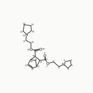 O=C(OCCN1CCCC1)C1C2C=CC(C2)C1C(=O)OCCN1CCCC1